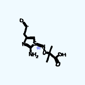 CC(C)(O/N=S1/C=C(C[C]=O)N=C1N)C(=O)O